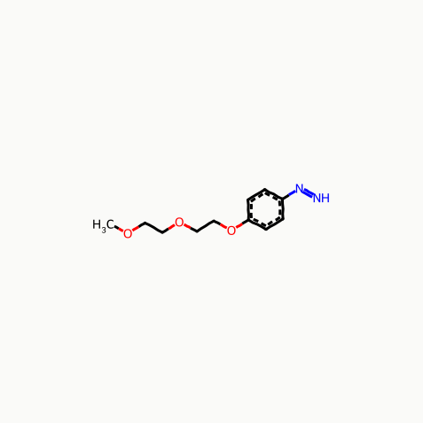 COCCOCCOc1ccc(N=N)cc1